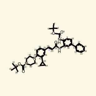 CC(C)(C)OC(=O)Nc1ccc(-c2ccccc2)cc1NC(=O)/C=C/c1ccc(N2CCN(C(=O)OC(C)(C)C)CC2)c(C2CC2)c1